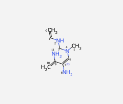 C=CNCN(C)/C=C(/N)C(=C)N